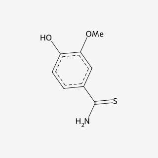 COc1cc(C(N)=S)ccc1O